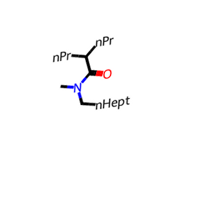 CCCCCCCCN(C)C(=O)C(CCC)CCC